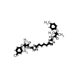 CC1C=CC(OC(C)(C)C(=O)Nc2nnc(CCCCc3nnc(NC(=O)C(C)(C)Oc4ccc(Cl)cc4)s3)s2)=CC1